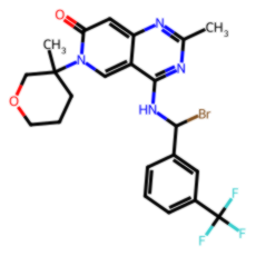 Cc1nc(NC(Br)c2cccc(C(F)(F)F)c2)c2cn(C3(C)CCCOC3)c(=O)cc2n1